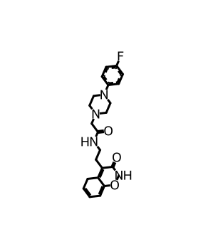 O=C(CN1CCN(c2ccc(F)cc2)CC1)NCCC1=C2CC=CC=C2ONC1=O